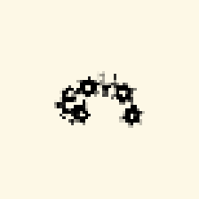 CN(C(=O)C1C[C@H]2CC[C@@H]1C2)C1CCN(c2ccc(NC(=O)Nc3ccc(Oc4ccccc4)cc3)cc2)C1